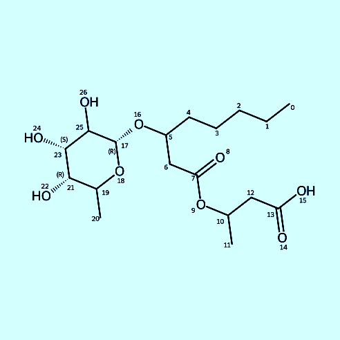 CCCCCC(CC(=O)OC(C)CC(=O)O)O[C@@H]1OC(C)[C@H](O)[C@H](O)C1O